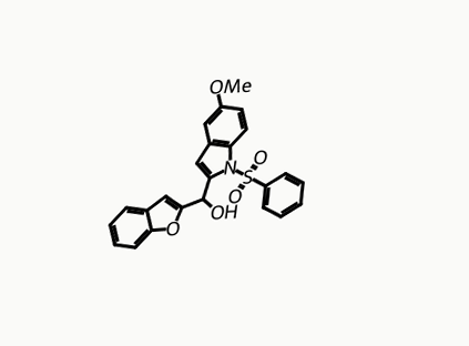 COc1ccc2c(c1)cc(C(O)c1cc3ccccc3o1)n2S(=O)(=O)c1ccccc1